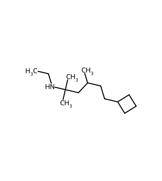 CCNC(C)(C)CC(C)CCC1CCC1